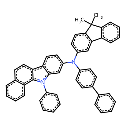 CC1(C)c2ccccc2-c2cc(N(c3ccc(-c4ccccc4)cc3)c3ccc4c5ccc6ccccc6c5n(-c5ccccc5)c4c3)ccc21